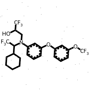 OC(CN(c1cccc(Oc2cccc(OC(F)(F)F)c2)c1)C(C1CCCCC1)C(F)(F)F)C(F)(F)F